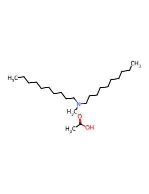 CC(=O)O.CCCCCCCCCCN(C)CCCCCCCCCC